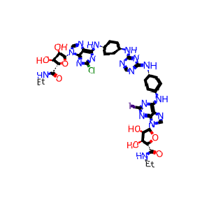 CCNC(=O)[C@H]1O[C@@H](n2cnc3c(N[C@H]4CC[C@H](Nc5ncnc(N[C@H]6CC[C@H](Nc7nc(I)nc8c7ncn8[C@@H]7O[C@H](C(=O)NCC)[C@@H](O)[C@H]7O)CC6)n5)CC4)nc(Cl)nc32)[C@H](O)[C@@H]1O